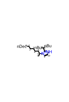 CCCCCCCCCCCCCCCC(C)[n+]1cc[nH]c1C(CCCC)CCCC